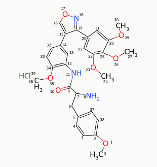 COc1ccc(CC(N)C(=O)Nc2cc(-c3conc3-c3cc(OC)c(OC)c(OC)c3)ccc2OC)cc1.Cl